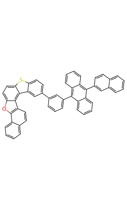 c1cc(-c2ccc3sc4ccc5oc6c7ccccc7ccc6c5c4c3c2)cc(-c2c3ccccc3c(-c3ccc4ccccc4c3)c3ccccc23)c1